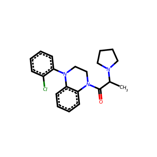 CC(C(=O)N1CCN(c2ccccc2Cl)c2ccccc21)N1CCCC1